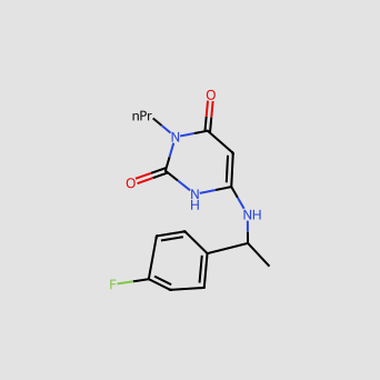 CCCn1c(=O)cc(NC(C)c2ccc(F)cc2)[nH]c1=O